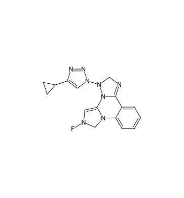 FN1C=C2N(C1)c1ccccc1C1=NCN(n3cc(C4CC4)nn3)N21